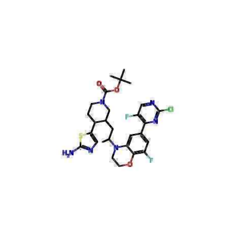 CC(CC1CN(C(=O)OC(C)(C)C)CCC1c1cnc(N)s1)N1CCOc2c(F)cc(-c3nc(Cl)ncc3F)cc21